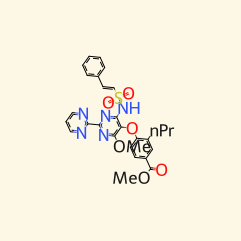 CCCc1cc(C(=O)OC)ccc1Oc1c(NS(=O)(=O)C=Cc2ccccc2)nc(-c2ncccn2)nc1OC